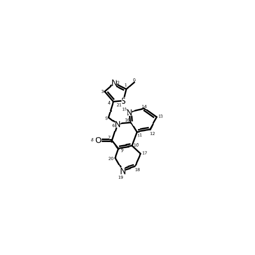 Cc1ncc(Cn2c(=O)c3c(c4cccnc42)CC=NC3)s1